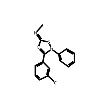 CN=c1nc(-c2cccc(Cl)c2)n(-c2ccccc2)s1